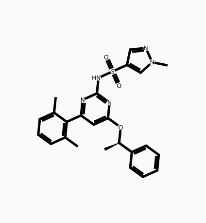 Cc1cccc(C)c1-c1cc(O[C@H](C)c2ccccc2)nc(NS(=O)(=O)c2cnn(C)c2)n1